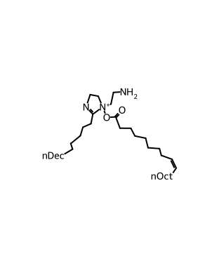 CCCCCCCC/C=C\CCCCCCCC(=O)O[N+]1(CCN)CCN=C1CCCCCCCCCCCCCCC